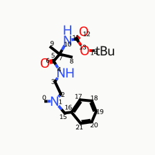 CN(CCNC(=O)C(C)(C)NC(=O)OC(C)(C)C)Cc1ccccc1